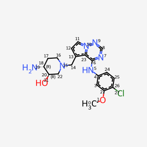 COc1cc(Nc2ncnn3ccc(CN4CC[C@@H](N)[C@H](O)C4)c23)ccc1Cl